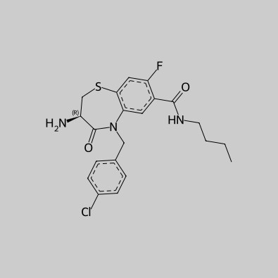 CCCCNC(=O)c1cc2c(cc1F)SC[C@H](N)C(=O)N2Cc1ccc(Cl)cc1